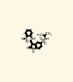 CC(C)NS(=O)(=O)c1ccc2c(c1)/C(=C\Nc1ccccc1[N+](=O)[O-])C(=O)N2